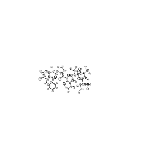 CC[C@H](C)[C@@H]([C@@H](CC(=O)N1CCC[C@H]1[C@H](OC)[C@@H](C)C(=O)N[C@@H](Cc1ccccc1)C(=O)OC)OC)N(C)C(=O)[C@@H](NC(=O)[C@H](C(C)C)N(C)C(=O)[C@@H](NC)[C@@H](C)CC)C(C)C